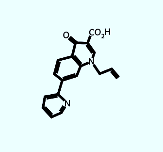 C=CCn1cc(C(=O)O)c(=O)c2ccc(-c3ccccn3)cc21